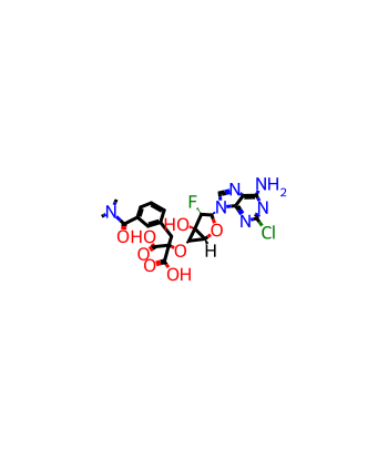 CN(C)C(=O)c1cccc(CC(O[C@H]2[C@H]3O[C@@H](n4cnc5c(N)nc(Cl)nc54)[C@@H](F)[C@]32O)(C(=O)O)C(=O)O)c1